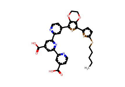 CCCCCSc1ccc(-c2sc(-c3ccnc(-c4cc(C(=O)O)cc(-c5cc(C(=O)O)ccn5)n4)c3)c3c2OCCO3)s1